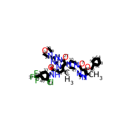 Cc1ncnc(C(=O)N2CCN(c3c4n(c5nc(N6CCOCC6)nn5c3=O)[C@@H](C(=O)Nc3ccc(C(F)(F)F)cc3Cl)C[C@H]4C)CC2)c1OCc1ccccc1